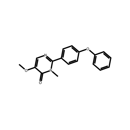 COc1cnc(-c2ccc(Oc3ccccc3)cc2)n(C)c1=O